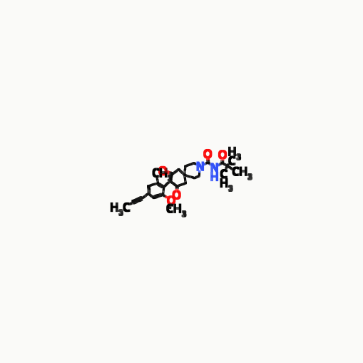 CC#Cc1cc(C)c(C2C(=O)CC3(CCN(C(=O)NC(=O)C(C)(C)C)CC3)CC2=O)c(OC)c1